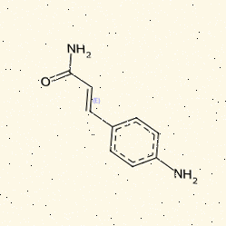 NC(=O)/C=C/c1ccc(N)cc1